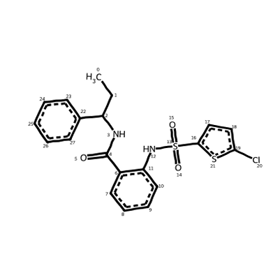 CCC(NC(=O)c1ccccc1NS(=O)(=O)c1ccc(Cl)s1)c1ccccc1